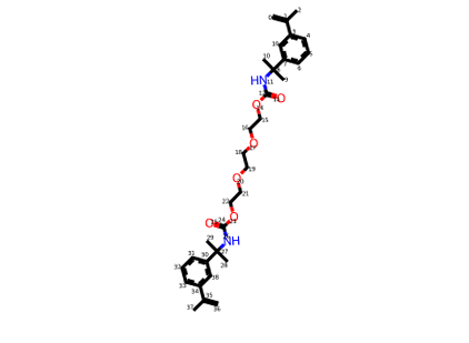 C=C(C)c1cccc(C(C)(C)NC(=O)OCCOCCOCCOC(=O)NC(C)(C)c2cccc(C(=C)C)c2)c1